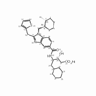 C[C@@H]1CCCC[C@H]1Cn1c(Cc2cccs2)nc2cc(C(=O)NC(CC3CCCCC3)[C@H](O)CC(=O)O)ccc21